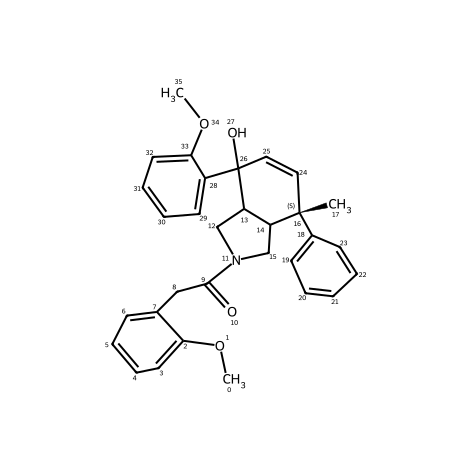 COc1ccccc1CC(=O)N1CC2C(C1)[C@@](C)(c1ccccc1)C=CC2(O)c1ccccc1OC